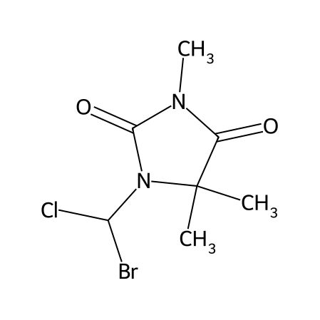 CN1C(=O)N(C(Cl)Br)C(C)(C)C1=O